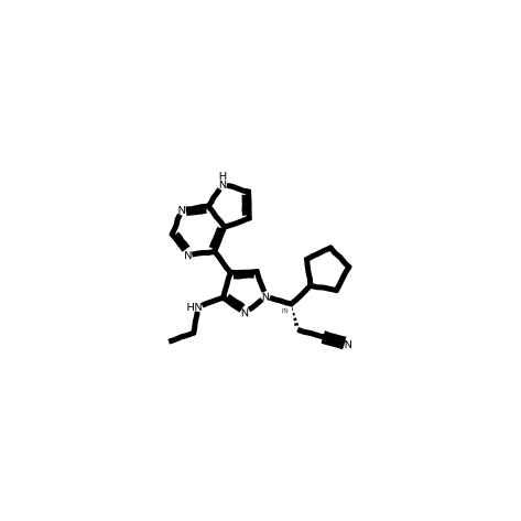 CCNc1nn([C@@H](CC#N)C2CCCC2)cc1-c1ncnc2[nH]ccc12